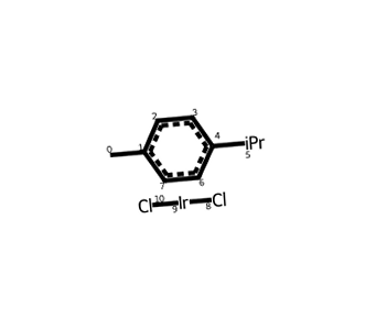 Cc1ccc(C(C)C)cc1.[Cl][Ir][Cl]